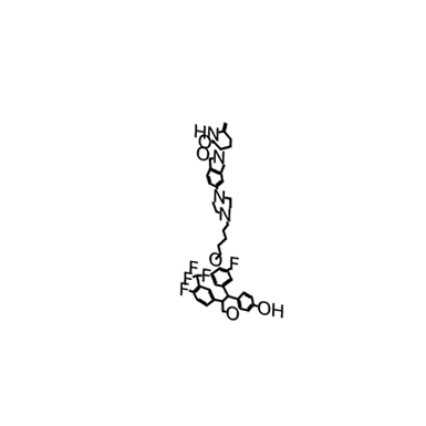 C=C1CCC(N2Cc3cc(N4CCN(CCCCCOc5ccc(C6c7ccc(O)cc7OCC6c6ccc(F)c(C(F)(F)F)c6)cc5F)CC4)ccc3C2=O)C(=O)N1